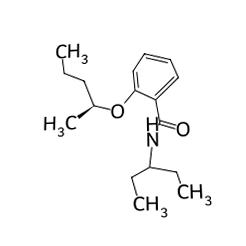 CCC[C@H](C)Oc1ccccc1C(=O)NC(CC)CC